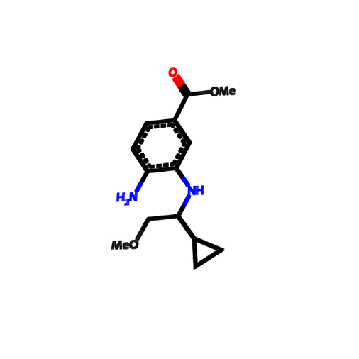 COCC(Nc1cc(C(=O)OC)ccc1N)C1CC1